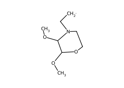 [CH2]CN1CCOC(OC)C1OC